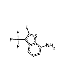 Nc1cccc2c(C(F)(F)F)c(I)sc12